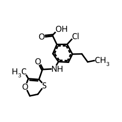 CCCc1cc(NC(=O)C2=C(C)OCCS2)cc(C(=O)O)c1Cl